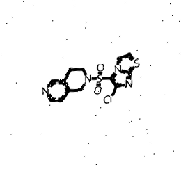 O=S(=O)(c1c(Cl)nc2sccn12)N1CCc2cnccc2C1